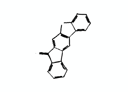 O=C1c2ccccc2-c2cc3c(cc21)oc1ccccc13